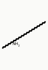 CCCCCCCCCCCCCCCCCCCCCCCCCC(N)CCCCCCCC